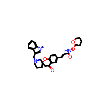 Cn1cc(CN2CCCC3(CC(=O)c4cc(/C=C/C(=O)NOC5CCCCO5)ccc4O3)C2)c2ccccc21